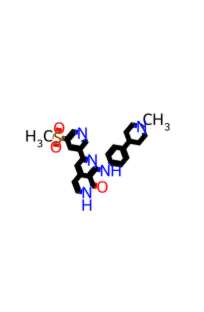 CN1CCC(c2ccc(Nc3nc(-c4cncc(S(C)(=O)=O)c4)cc4cc[nH]c(=O)c34)cc2)CC1